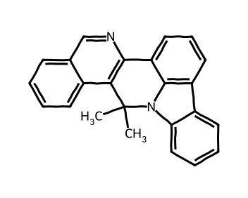 CC1(C)c2c(ncc3ccccc23)-c2cccc3c4ccccc4n1c23